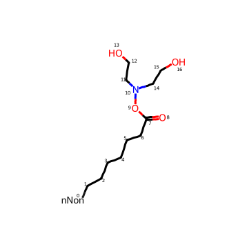 CCCCCCCCCCCCCCCC(=O)ON(CCO)CCO